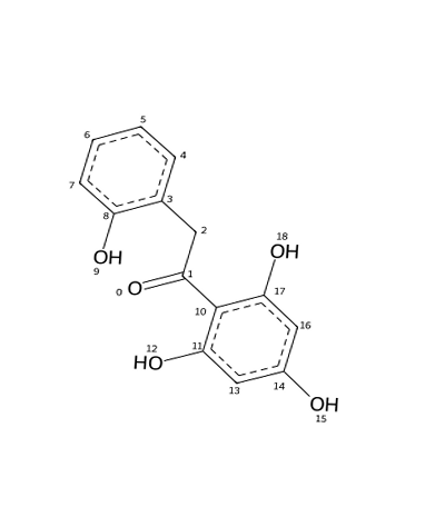 O=C(Cc1ccccc1O)c1c(O)cc(O)cc1O